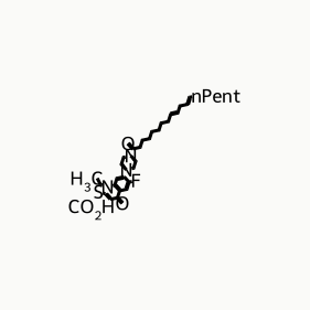 CCCCC/C=C/C/C=C/CCCCCCCC(=O)N1CCN(c2cc3c(cc2F)c(=O)c(C(=O)O)c2n3C(C)S2)CC1